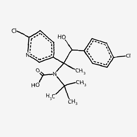 CC(C)(C)N(C(=O)O)C(C)(c1ccc(Cl)nc1)C(O)c1ccc(Cl)cc1